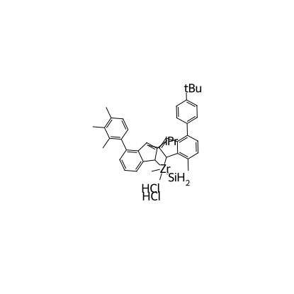 CC1=Cc2c(-c3ccc(C(C)(C)C)cc3)ccc(C)c2[CH]1[Zr]([CH3])([CH3])(=[SiH2])[CH]1C(C(C)C)=Cc2c(-c3ccc(C)c(C)c3C)cccc21.Cl.Cl